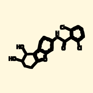 O=C(Nc1ccc2c3c(oc2c1)CCC(O)C3O)c1c(Cl)cccc1Cl